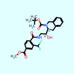 COC(=O)c1ccc(C(=O)NC[C@@H](O)[C@@H]2Cc3ccccc3CN2C(=O)OC(C)(C)C)c(C(F)F)c1